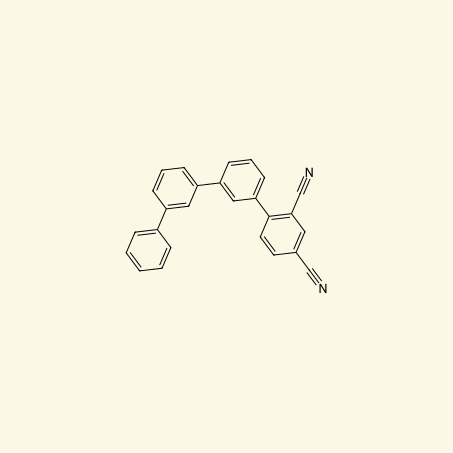 N#Cc1ccc(-c2cccc(-c3cccc(-c4ccccc4)c3)c2)c(C#N)c1